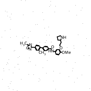 COc1ccc(NC(=O)c2ccc(-c3ccc(-c4noc(C)n4)cc3C)cc2)cc1OCCC1CCCN1